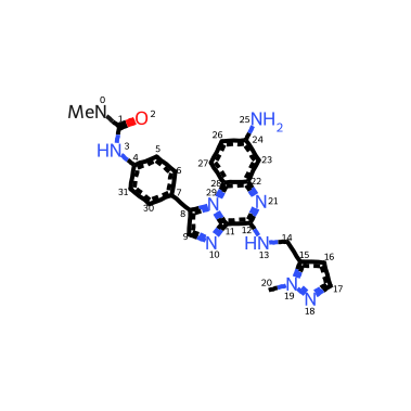 CNC(=O)Nc1ccc(-c2cnc3c(NCc4ccnn4C)nc4cc(N)ccc4n23)cc1